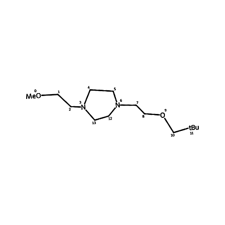 COCCN1CCN(CCOCC(C)(C)C)CC1